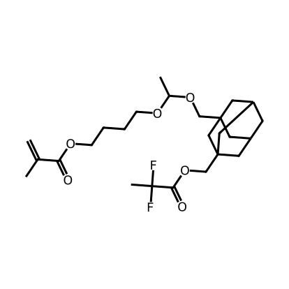 C=C(C)C(=O)OCCCCOC(C)OCC12CC3CC(CC(COC(=O)C(C)(F)F)(C3)C1)C2